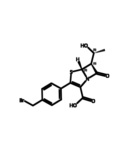 C[C@@H](O)[C@H]1C(=O)N2C(C(=O)O)=C(c3ccc(CBr)cc3)S[C@H]12